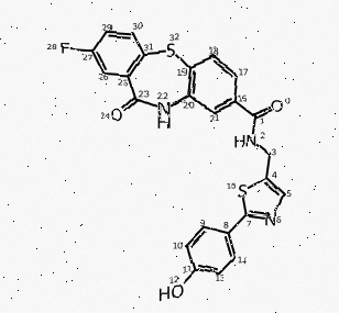 O=C(NCc1cnc(-c2ccc(O)cc2)s1)c1ccc2c(c1)NC(=O)c1cc(F)ccc1S2